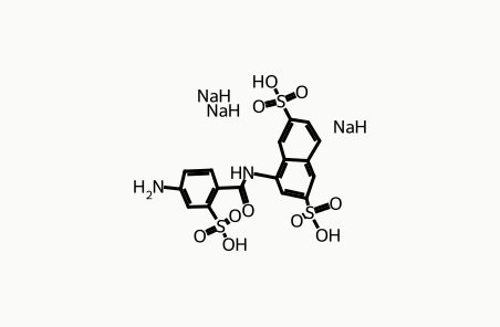 Nc1ccc(C(=O)Nc2cc(S(=O)(=O)O)cc3ccc(S(=O)(=O)O)cc23)c(S(=O)(=O)O)c1.[NaH].[NaH].[NaH]